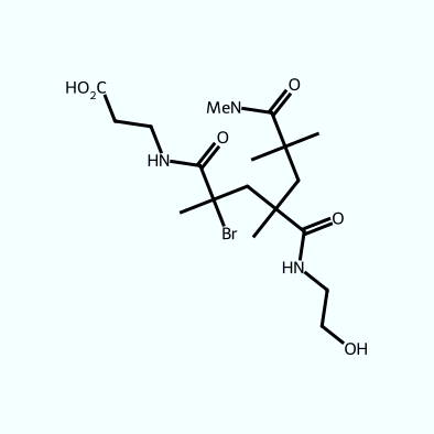 CNC(=O)C(C)(C)CC(C)(CC(C)(Br)C(=O)NCCC(=O)O)C(=O)NCCO